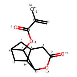 C=C(C(=O)OC1C2CC3CC(=O)OC1C3C2)C(F)(F)F